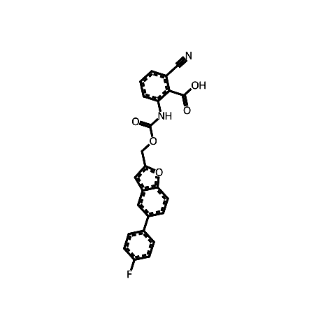 N#Cc1cccc(NC(=O)OCc2cc3cc(-c4ccc(F)cc4)ccc3o2)c1C(=O)O